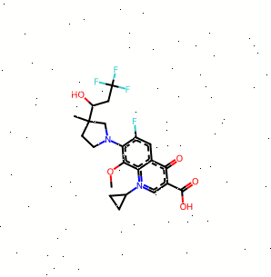 COc1c(N2CCC(C)(C(O)CC(F)(F)F)C2)c(F)cc2c(=O)c(C(=O)O)cn(C3CC3)c12